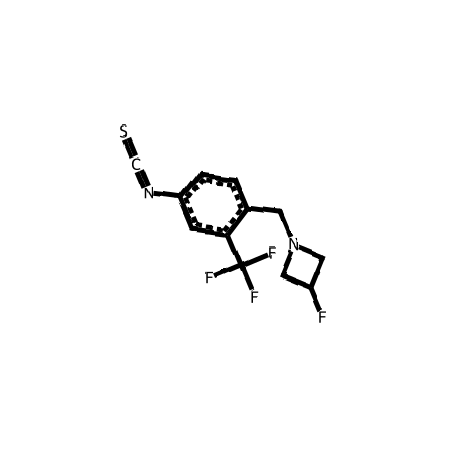 FC1CN(Cc2ccc(N=C=S)cc2C(F)(F)F)C1